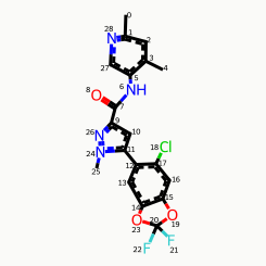 Cc1cc(C)c(NC(=O)c2cc(-c3cc4c(cc3Cl)OC(F)(F)O4)n(C)n2)cn1